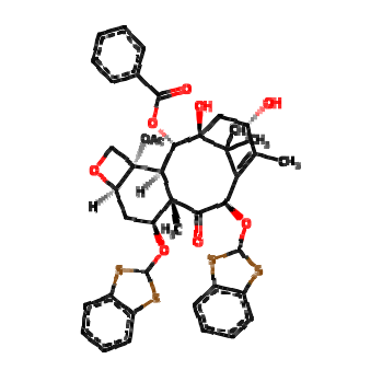 CC(=O)O[C@@]12CO[C@@H]1C[C@H](OC1Sc3ccccc3S1)[C@@]1(C)C(=O)[C@H](OC3Sc4ccccc4S3)C3=C(C)[C@@H](O)C[C@@](O)([C@@H](OC(=O)c4ccccc4)[C@H]21)C3(C)C